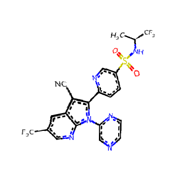 C[C@H](NS(=O)(=O)c1ccc(-c2c(C#N)c3cc(C(F)(F)F)cnc3n2-c2cnccn2)nc1)C(F)(F)F